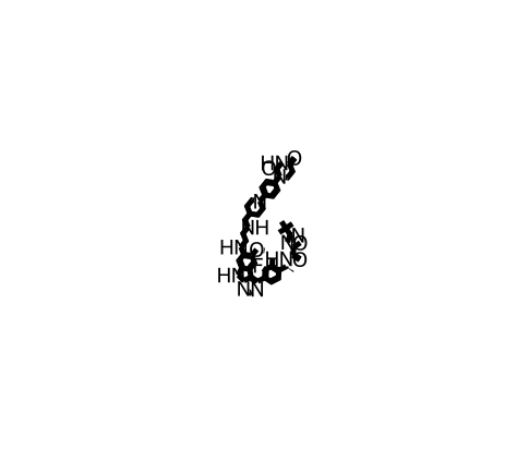 COc1cc2c(cc1NCCNCC1CCN(c3ccc(N4CCC(=O)NC4=O)cc3)CC1)[nH]c1ncnc(-c3ccc([C@@H](C)NC(=O)c4nc(C(C)(C)C)no4)c(C)c3F)c12